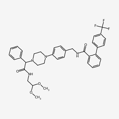 COC(CNC(=O)C(c1ccccc1)N1CCN(c2ccc(CNC(=O)c3ccccc3-c3ccc(C(F)(F)F)cc3)cc2)CC1)OC